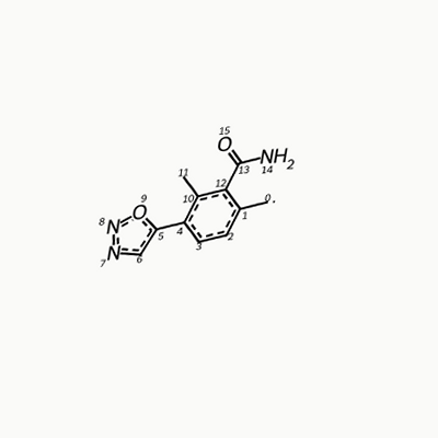 [CH2]c1ccc(-c2cnno2)c(C)c1C(N)=O